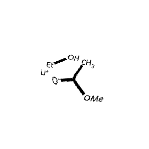 CCO.COC(C)[O-].[Li+]